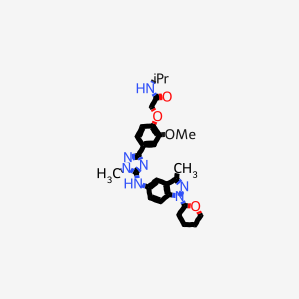 COc1cc(-c2nc(Nc3ccc4c(c3)c(C)nn4C3CCCCO3)n(C)n2)ccc1OCC(=O)NC(C)C